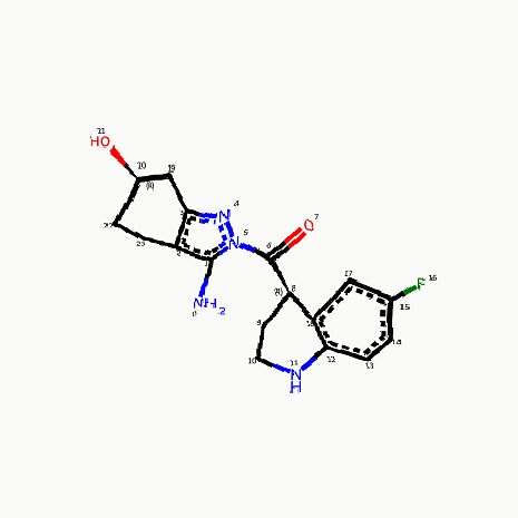 Nc1c2c(nn1C(=O)[C@@H]1CCNc3ccc(F)cc31)C[C@H](O)CC2